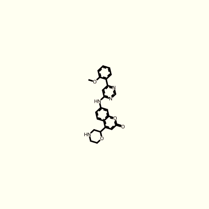 COc1ccccc1-c1cc(Nc2ccc3c(C4CNCCO4)cc(=O)oc3c2)ncn1